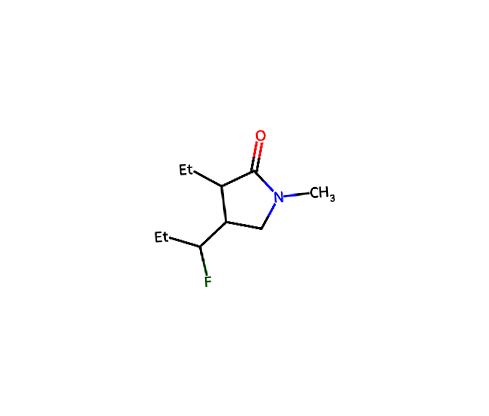 CCC(F)C1CN(C)C(=O)C1CC